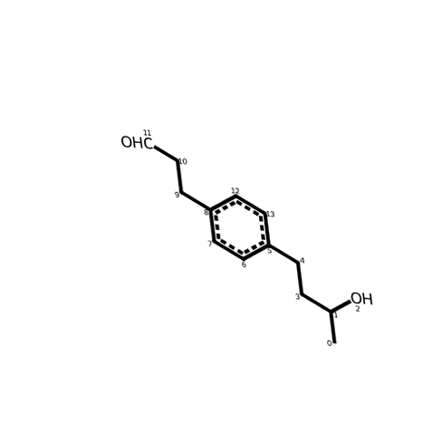 CC(O)CCc1ccc(CCC=O)cc1